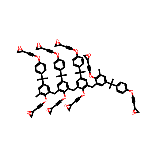 Cc1cc(C(C)(C)c2ccc(OC#CC3CO3)cc2)cc(Cc2cc(C(C)(C)c3ccc(OC#CC4CO4)cc3)cc(Cc3cc(C(C)(C)c4ccc(OC#CC5CO5)cc4)cc(Cc4cc(C(C)(C)c5ccc(OC#CC6CO6)cc5)cc(C)c4OC#CC4CO4)c3OC#CC3CO3)c2OC#CC2CO2)c1OC#CC1CO1